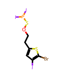 Brc1sc(CCOSP(I)I)cc1I